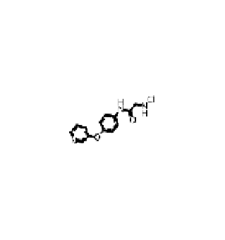 O=C(CNCl)Nc1ccc(Oc2cccnc2)cc1